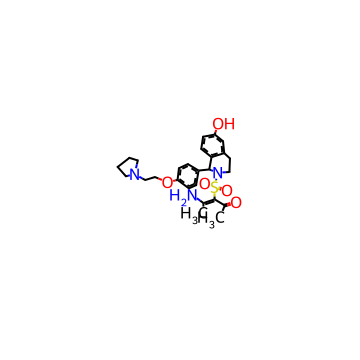 CC(=O)C(=C(C)N)S(=O)(=O)N1CCc2cc(O)ccc2C1c1ccc(OCCN2CCCC2)cc1